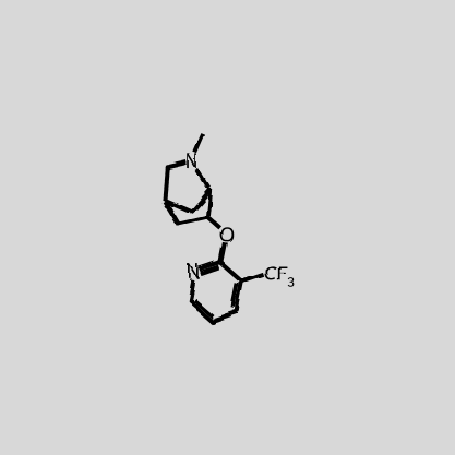 CN1CC2CC(Oc3ncccc3C(F)(F)F)C1C2